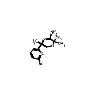 CC1(c2cccc(Br)n2)COC(C)(C(F)(F)F)C(N)=N1